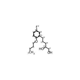 CCCCOc1ccc(F)cc1CCCC(O)CO